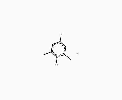 CC[n+]1c(C)cc(C)cc1C.[I-]